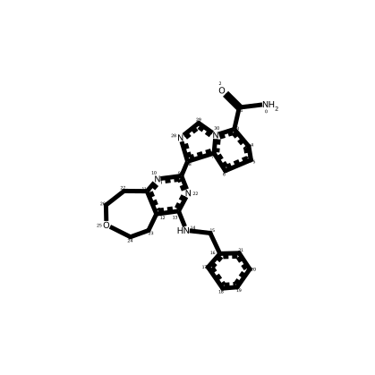 NC(=O)c1cccc2c(-c3nc4c(c(NCc5ccccc5)n3)CCOCC4)ncn12